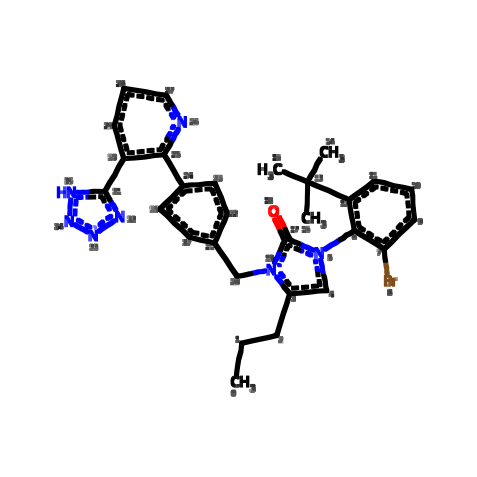 CCCc1cn(-c2c(Br)cccc2C(C)(C)C)c(=O)n1Cc1ccc(-c2ncccc2-c2nnn[nH]2)cc1